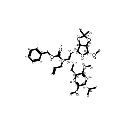 C=CCN(C(=O)OCc1ccccc1)[C@@H](CC[C@@H]1N=C(OC)[C@@H](C(C)C)N=C1OC)C[C@H]1O[C@@H](OC)C2OC(C)(C)OC21